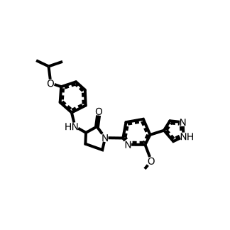 COc1nc(N2CCC(Nc3cccc(OC(C)C)c3)C2=O)ccc1-c1cn[nH]c1